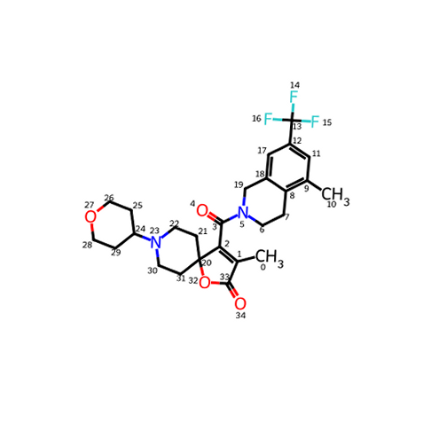 CC1=C(C(=O)N2CCc3c(C)cc(C(F)(F)F)cc3C2)C2(CCN(C3CCOCC3)CC2)OC1=O